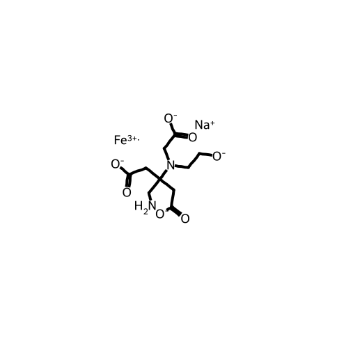 NCC(CC(=O)[O-])(CC(=O)[O-])N(CC[O-])CC(=O)[O-].[Fe+3].[Na+]